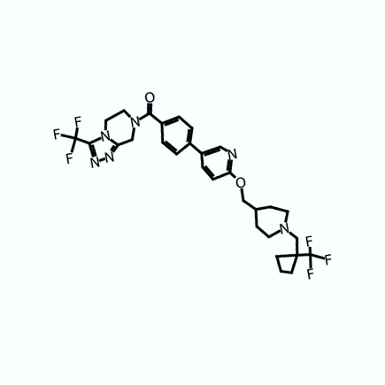 O=C(c1ccc(-c2ccc(OCC3CCN(CC4(C(F)(F)F)CCC4)CC3)nc2)cc1)N1CCn2c(nnc2C(F)(F)F)C1